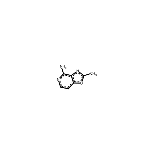 Cc1nc2c(N)nccc2o1